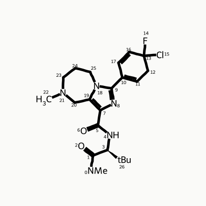 CNC(=O)[C@@H](NC(=O)c1nc(C2=CCC(F)(Cl)C=C2)n2c1CN(C)CCC2)C(C)(C)C